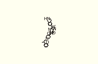 CC(CC(=O)N1CCC(O)(Cn2cnc3c(-c4ccc5c(c4)CCNC5)n(C)nc3c2=O)CC1)c1ccccc1